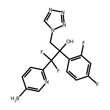 Bc1ccc(C(F)(F)C(O)(Cn2cnnn2)c2ccc(F)cc2F)nc1